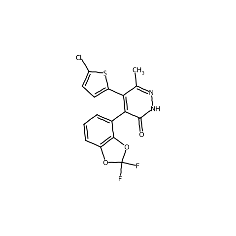 Cc1n[nH]c(=O)c(-c2cccc3c2OC(F)(F)O3)c1-c1ccc(Cl)s1